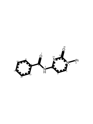 CC(C)n1ccc(NC(=O)c2ccccc2)nc1=O